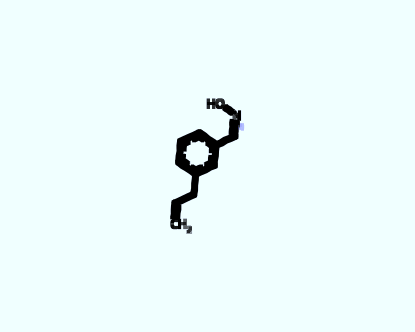 C=CCc1cccc(/C=N\O)c1